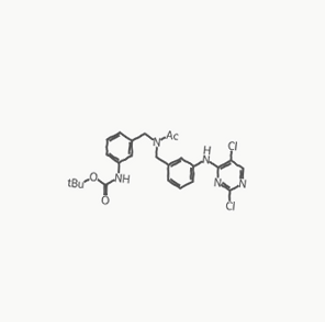 CC(=O)N(Cc1cccc(NC(=O)OC(C)(C)C)c1)Cc1cccc(Nc2nc(Cl)ncc2Cl)c1